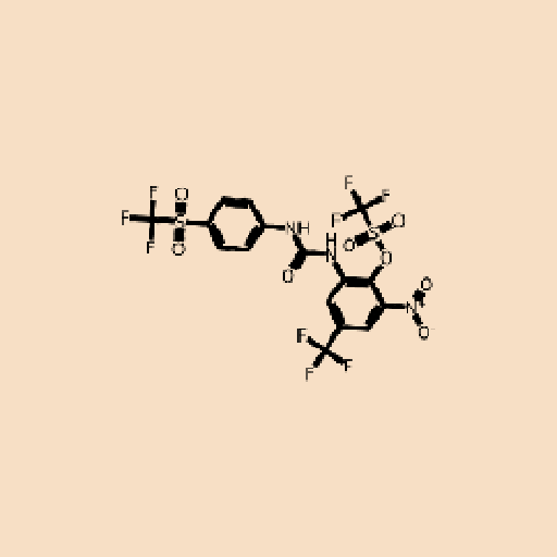 O=C(Nc1ccc(S(=O)(=O)C(F)(F)F)cc1)Nc1cc(C(F)(F)F)cc([N+](=O)[O-])c1OS(=O)(=O)C(F)(F)F